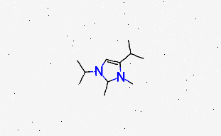 CC(C)C1=CN(C(C)C)C(C)N1C